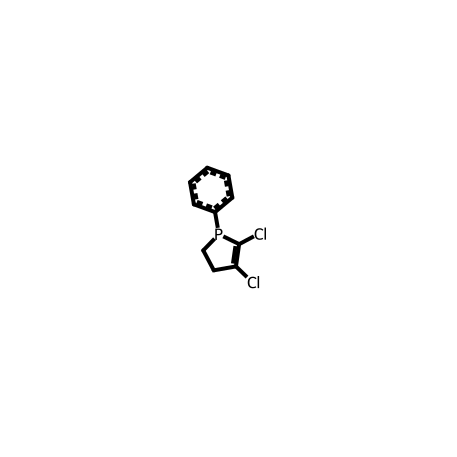 ClC1=C(Cl)P(c2ccccc2)CC1